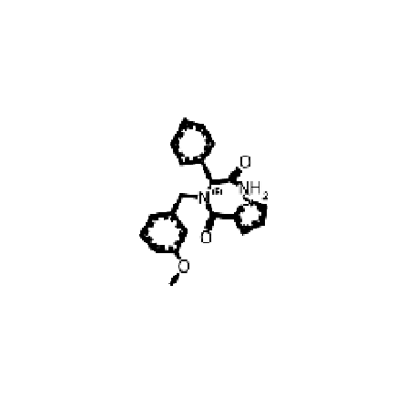 COc1cccc(CN(C(=O)c2cccs2)[C@@H](C(N)=O)c2ccccc2)c1